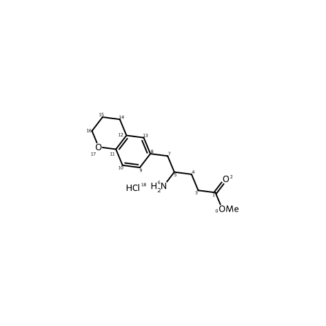 COC(=O)CCC(N)Cc1ccc2c(c1)CCCO2.Cl